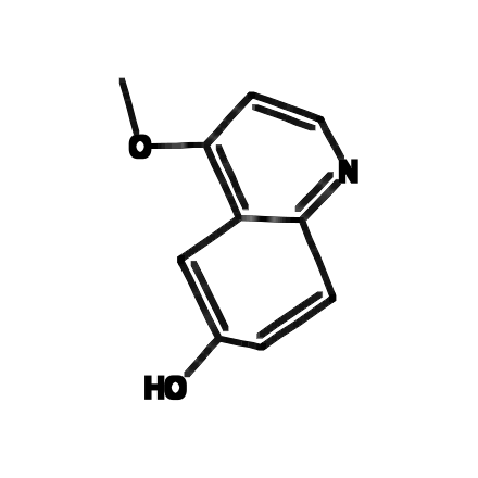 COc1ccnc2ccc(O)cc12